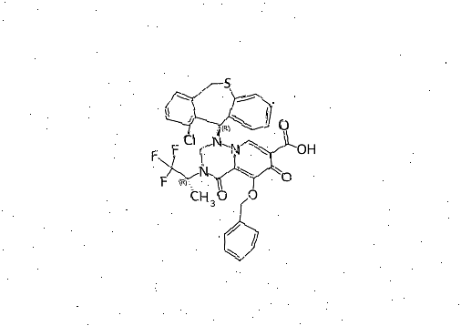 C[C@@H](N1CN([C@@H]2c3ccccc3SCc3cccc(Cl)c32)n2cc(C(=O)O)c(=O)c(OCc3ccccc3)c2C1=O)C(F)(F)F